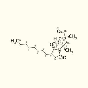 CCCCCCCCC1CC(=O)N(C(C)(C)CC(C)(C)C=O)C1=O